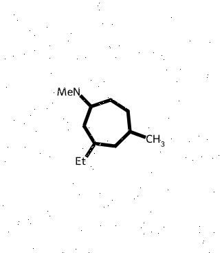 CCC1CC(C)CCC(NC)C1